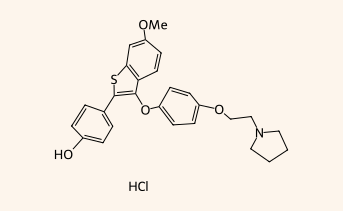 COc1ccc2c(Oc3ccc(OCCN4CCCC4)cc3)c(-c3ccc(O)cc3)sc2c1.Cl